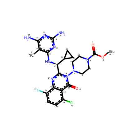 CC(C)(C)OC(=O)N1CCN(n2c([C@@H](Nc3nc(N)nc(N)c3C#N)C3CC3)nc3c(F)ccc(Cl)c3c2=O)CC1